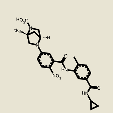 Cc1ccc(C(=O)NC2CC2)cc1NC(=O)c1cc(N2C[C@@]3(C(C)(C)C)C[C@H]2CN3C(=O)O)ccc1[N+](=O)[O-]